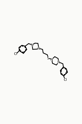 Clc1ccc(CN2CCN(CCCSN3CCN(Cc4ccc(Cl)cc4)CC3)CC2)cc1